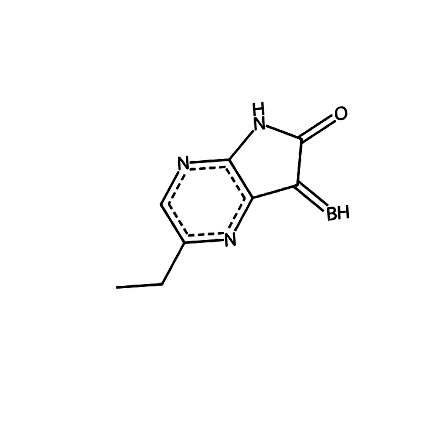 B=C1C(=O)Nc2ncc(CC)nc21